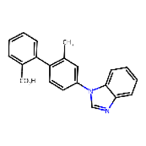 Cc1cc(-n2cnc3ccccc32)ccc1-c1ccccc1C(=O)O